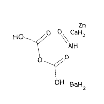 O=C(O)OC(=O)O.[BaH2].[CaH2].[O]=[AlH].[Zn]